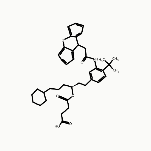 CC(C)(C)c1ccc(CC[C@H](CCCC2CCCCC2)OC(=O)CCC(=O)O)cc1NC(=O)CC1c2ccccc2Oc2ccccc21